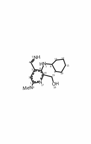 CNc1cc(C=N)c(NC2CCCCC2)c(CO)n1